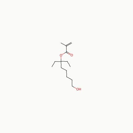 C=C(C)C(=O)OC(CC)(CC)CCCCCO